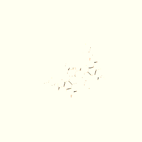 CNC(=O)c1c(I)c(C(=O)NCC(O)CO)c(I)c(N(CC(O)CO)C(=O)C(O)C(=O)N(CC(O)CO)c2c(I)c(C(=O)NC)c(I)c(C(=O)NCC(O)CO)c2I)c1I